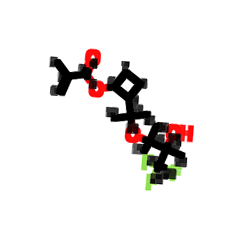 C=C(C)C(=O)OC1CCC1C(C)(C)OC(C)(C)C(C)(O)C(F)(F)F